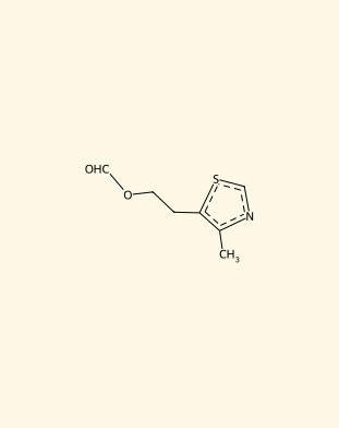 Cc1ncsc1CCOC=O